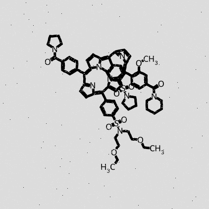 CCOCCN(CCOCC)S(=O)(=O)c1ccc(/C2=C3\C=CC(=N3)/C(c3ccc(C(=O)N4CCCC4)cc3)=c3/cc/c4n3Cn3c2ccc3/C(c2ccc(C(=O)N3CCCCC3)cc2OC)=C2/C=CC(=N2)/C=4c2ccc(S(=O)(=O)N3CCCC3)cc2)cc1